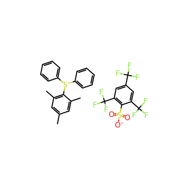 Cc1cc(C)c([S+](c2ccccc2)c2ccccc2)c(C)c1.O=S(=O)([O-])c1c(C(F)(F)F)cc(C(F)(F)F)cc1C(F)(F)F